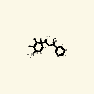 CC1=C(C)C(C)(C(=O)CC(=O)c2ccccc2)C=CC1N